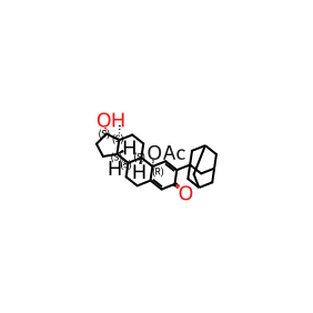 CC(=O)O[C@]12C=C(C34CC5CC(CC(C5)C3)C4)C(=O)C=C1CC[C@H]1[C@@H]3CC[C@H](O)[C@@]3(C)CC[C@@H]12